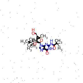 CC(C)C(=O)Nc1nc2c(ncn2[C@@H]2OC3(C)C(C2O[Si](C)(C)C(C)(C)C)[C@H]3CO)c(=O)[nH]1